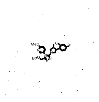 CCOCc1nnc(N2CC(C)C(c3ccc(F)cc3Cl)C2)n1-c1ccc(OC)nc1